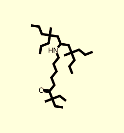 CCCC(C)(CCC)CC(CC(C)(CCC)CCC)NCCCCCC(=O)C(C)(CC)CC